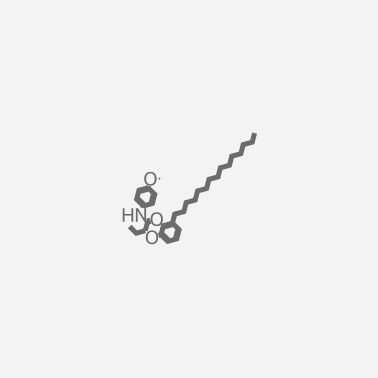 CCCCCCCCCCCCCCCc1cccc(OC(CC)C(=O)Nc2ccc([O])cc2)c1